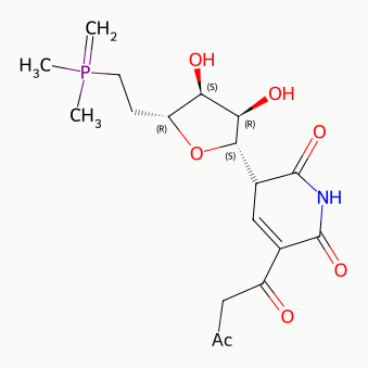 C=P(C)(C)CC[C@H]1O[C@@H](C2C=C(C(=O)CC(C)=O)C(=O)NC2=O)[C@H](O)[C@@H]1O